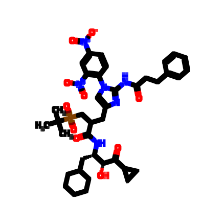 CC(C)(C)S(=O)(=O)CC(Cc1cn(-c2ccc([N+](=O)[O-])cc2[N+](=O)[O-])c(NC(=O)CCc2ccccc2)n1)C(=O)N[C@@H](CC1CCCCC1)[C@@H](O)C(=O)C1CC1